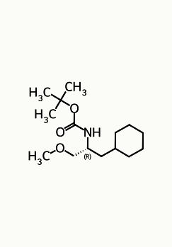 COC[C@@H](CC1CCCCC1)NC(=O)OC(C)(C)C